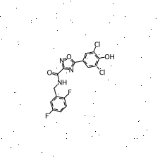 O=C(NCc1cc(F)ccc1F)c1noc(-c2cc(Cl)c(O)c(Cl)c2)n1